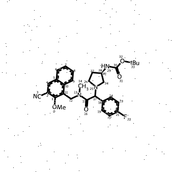 COc1c(C#N)cc2ccccc2c1CN(C)C(=O)C(c1ccc(F)cc1)N1CC[C@@H](NC(=O)OC(C)(C)C)C1